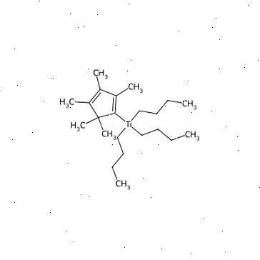 CCC[CH2][Ti]([CH2]CCC)([CH2]CCC)[C]1=C(C)C(C)=C(C)C1(C)C